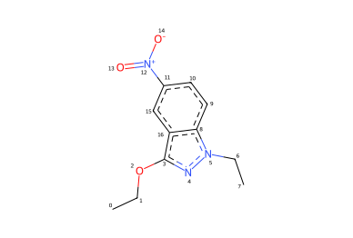 CCOc1nn(CC)c2ccc([N+](=O)[O-])cc12